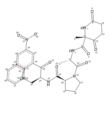 C[C@H](NC(=O)[C@]1(C)NC(=O)CCC1=O)C(=O)N1CCC[C@H]1C(=O)N[C@@H](Cc1ccccc1)C(=O)c1cc([N+](=O)[O-])ccc1O